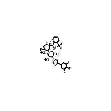 OC[C@H]1O[C@@H](SC(c2ncccc2C(F)(F)F)C2(O)CCC(F)(F)CC2)[C@H](O)[C@@H](n2cc(-c3cc(F)c(F)c(F)c3)nn2)[C@H]1O